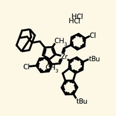 CC1=[C]([Zr](=[CH]c2ccc(Cl)cc2)(=[CH]c2ccc(Cl)cc2)[c]2cc(C(C)(C)C)cc3c2Cc2ccc(C(C)(C)C)cc2-3)C(C)C=C1CC12CC3CC(CC(C3)C1)C2.Cl.Cl